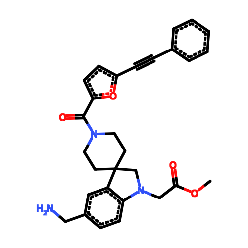 COC(=O)CN1CC2(CCN(C(=O)c3ccc(C#Cc4ccccc4)o3)CC2)c2cc(CN)ccc21